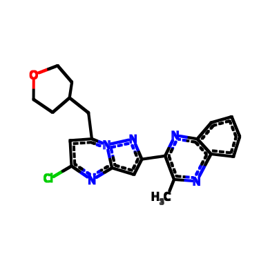 Cc1nc2ccccc2nc1-c1cc2nc(Cl)cc(CC3CCOCC3)n2n1